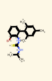 Cc1cc(C)c(-c2cccc(Br)c2NC(=S)NC(C)C)c(C)c1